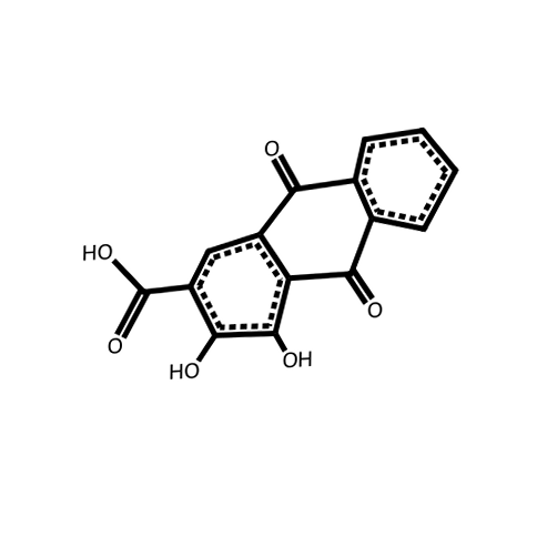 O=C(O)c1cc2c(c(O)c1O)C(=O)c1ccccc1C2=O